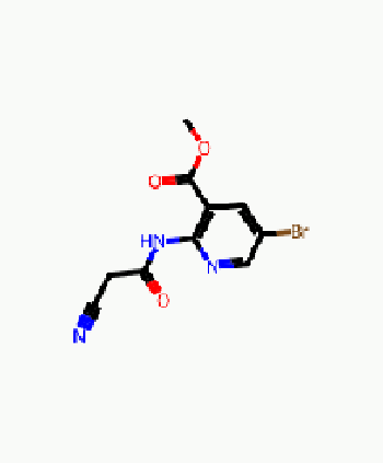 COC(=O)c1cc(Br)cnc1NC(=O)CC#N